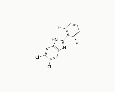 Fc1cccc(F)c1-c1nc2cc(Cl)c(Cl)cc2[nH]1